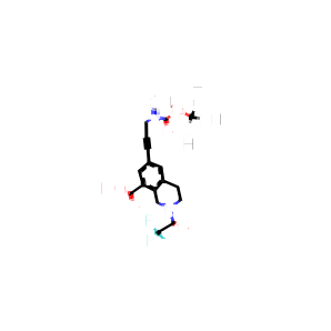 CN(CC#Cc1cc2c(c(C(=O)O)c1)CN(C(=O)C(F)(F)F)CC2)C(=O)OC(C)(C)C